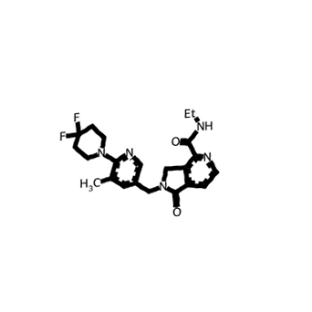 CCNC(=O)c1nccc2c1CN(Cc1cnc(N3CCC(F)(F)CC3)c(C)c1)C2=O